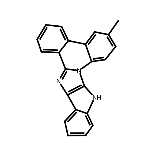 Cc1ccc2c(c1)c1ccccc1c1nc3c4ccccc4[nH]c3n21